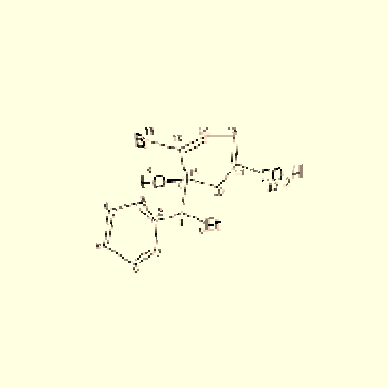 CCC(c1ccccc1)[C@@]1(O)CC(C(=O)O)=CC=C1Br